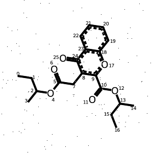 CCC(C)OC(=O)Cc1c(C(=O)OC(C)CC)oc2ccccc2c1=O